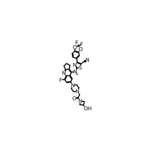 CN(c1nc(-c2ccc3c(c2)OC(F)(F)O3)c(C#N)s1)c1c2c(nc3c(F)cc(N4CCN(CC(=O)N5CC(O)C5)CC4)cc13)CCC2